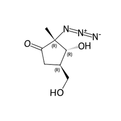 C[C@]1(N=[N+]=[N-])C(=O)C[C@H](CO)[C@H]1O